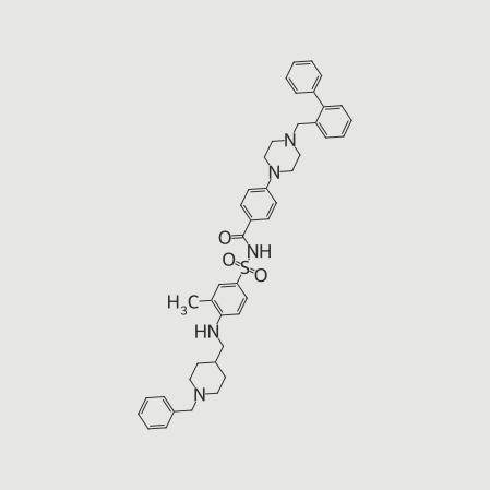 Cc1cc(S(=O)(=O)NC(=O)c2ccc(N3CCN(Cc4ccccc4-c4ccccc4)CC3)cc2)ccc1NCC1CCN(Cc2ccccc2)CC1